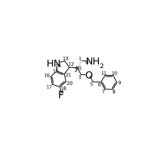 NC[C@H](COCc1ccccc1)C1CNc2ccc(F)cc21